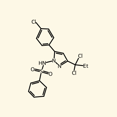 CCC(Cl)(Cl)c1cc(-c2ccc(Cl)cc2)n(NS(=O)(=O)c2ccccc2)n1